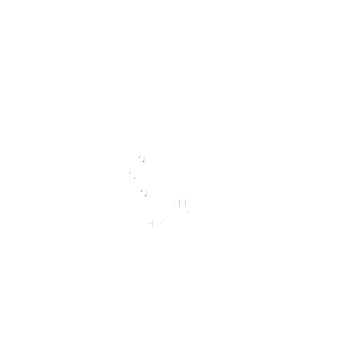 C[SiH2]c1nnncc1Cc1ccccc1